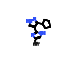 CCCc1c[nH]c(-c2c[nH]nc2C2CCCC2)n1